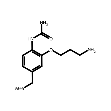 CSCc1ccc(NC(N)=O)c(OCCCN)c1